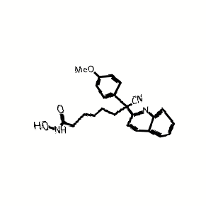 COc1ccc(C(C#N)(CCCCCC(=O)NO)c2ccc3ccccc3n2)cc1